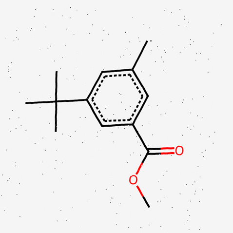 [CH2]c1cc(C(=O)OC)cc(C(C)(C)C)c1